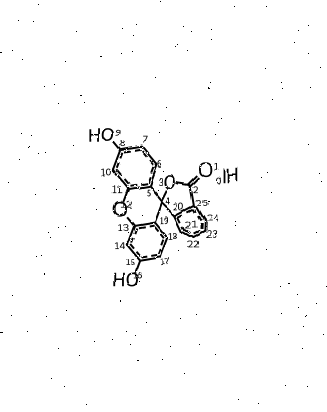 I.O=C1OC2(c3ccc(O)cc3Oc3cc(O)ccc32)c2ccccc21